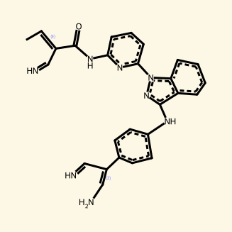 C/C=C(\C=N)C(=O)Nc1cccc(-n2nc(Nc3ccc(/C(C=N)=C/N)cc3)c3ccccc32)n1